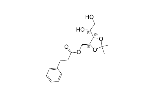 CC1(C)O[C@@H]([C@H](O)CO)[C@H](COC(=O)CCc2ccccc2)O1